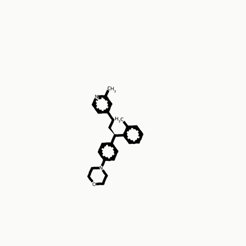 Cc1cc(CC[C@H](c2ccc(N3CCOCC3)cc2)c2ccccc2C)ccn1